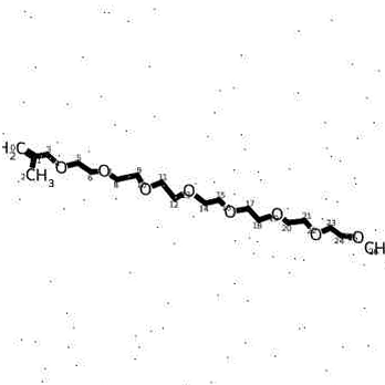 C=C(C)COCCOCCOCCOCCOCCOCCOCCOC